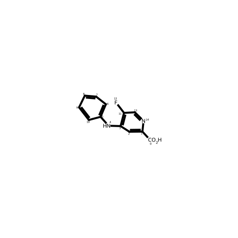 O=C(O)c1cc(Nc2ccccc2)c(F)cn1